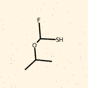 CC(C)OC(F)S